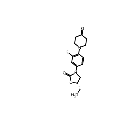 NC[C@H]1CN(c2ccc(N3CCC(=O)CC3)c(F)c2)C(=O)O1